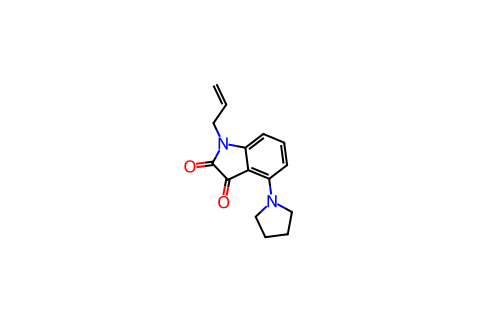 C=CCN1C(=O)C(=O)c2c(N3CCCC3)cccc21